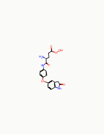 N[C@@H](CCC(=O)OO)C(=O)Nc1ccc(Oc2ccc3c(c2)CC(=O)N3)cc1